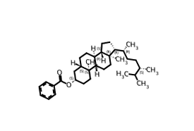 CC(C)[C@@H](C)CC[C@@H](C)[C@H]1CC[C@H]2[C@@H]3CC[C@H]4C[C@@H](OC(=O)c5ccccc5)CC[C@]4(C)[C@H]3CC[C@]12C